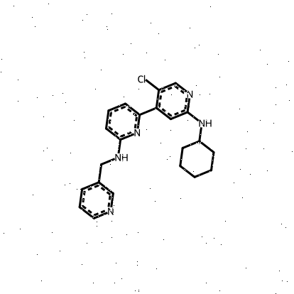 Clc1cnc(NC2CCCCC2)cc1-c1cccc(NCc2cccnc2)n1